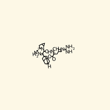 CN[C@@H](CCCNC(=N)N)C(=O)OC12CC3C[C@H](C1)CC([C@H](N)C(=O)N1C4CC4C[C@H]1C#N)(C3)C2